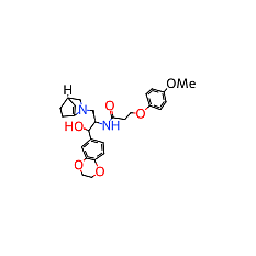 COc1ccc(OCCC(=O)N[C@H](CN2C[C@H]3C=C2CC3)[C@H](O)c2ccc3c(c2)OCCO3)cc1